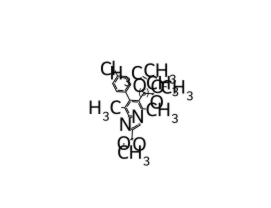 COC(=O)c1cn2c(C)c([C@H](OC(C)(C)C)C(=O)OC)c(-c3ccc(Cl)cc3)c(C)c2n1